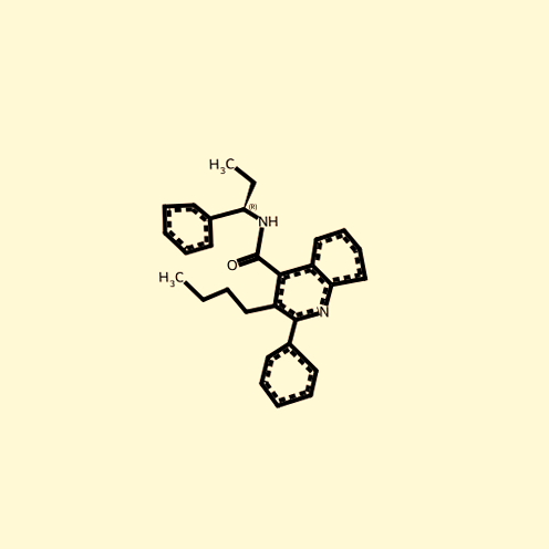 CCCCc1c(-c2ccccc2)nc2ccccc2c1C(=O)N[C@H](CC)c1ccccc1